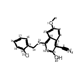 COc1ccc2c(C#N)c(O)nc(SCc3ccccc3Cl)c2c1